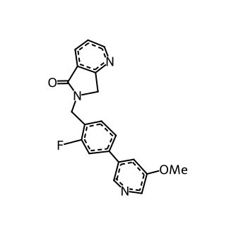 COc1cncc(-c2ccc(CN3Cc4ncccc4C3=O)c(F)c2)c1